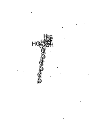 COCCOCCOCCOCCOCCOC[C@@H]1OC(O)C[C@H](NC(=O)C(F)(F)F)[C@@H]1O